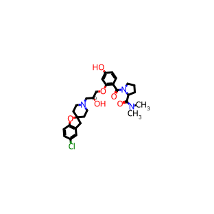 CN(C)C(=O)C1CCCN1C(=O)c1ccc(O)cc1OC[C@@H](O)CN1CCC2(CC1)Cc1cc(Cl)ccc1O2